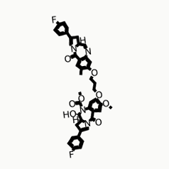 COC(=O)N1c2cc(OCCCOc3cc4c(cc3C)C(=O)N3C=C(c5ccc(F)cc5)C[C@H]3C=N4)c(OC)cc2C(=O)N2C=C(c3ccc(F)cc3)C[C@H]2[C@@H]1O